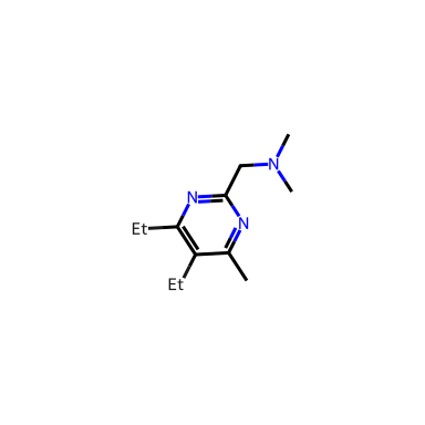 CCc1nc(CN(C)C)nc(C)c1CC